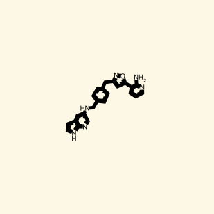 Nc1ncccc1-c1cc(Cc2ccc(CNc3cnc4[nH]ccc4c3)cc2)no1